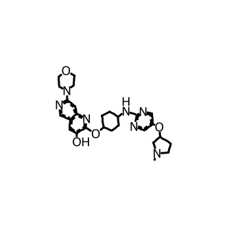 CN1CCC(Oc2cnc(NC3CCC(Oc4nc5cc(N6CCOCC6)ncc5cc4O)CC3)nc2)C1